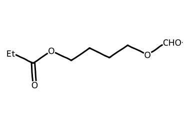 CCC(=O)OCCCCO[C]=O